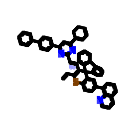 C=CC1=C(/C=C/c2nc(C3=CC=CCC3)cc(-c3ccc(-c4ccccc4)cc3)n2)C2(c3cc(-c4cccc5cccnc45)ccc3S1)c1ccccc1-c1ccccc12